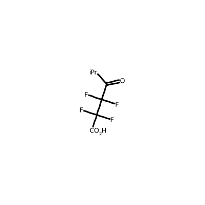 CC(C)C(=O)C(F)(F)C(F)(F)C(=O)O